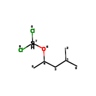 CC(C)CC(C)O[SiH](Cl)Cl